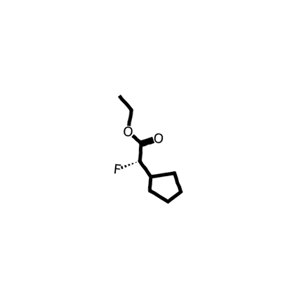 CCOC(=O)[C@@H](F)C1CCCC1